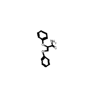 NC(=O)C(COc1ccccc1)Oc1ccccc1